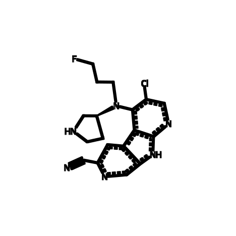 N#Cc1cc2c(cn1)[nH]c1ncc(Cl)c(N(CCCF)[C@H]3CCNC3)c12